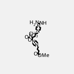 COC(=O)CCCN1CCN(C2OC(=O)N(C)C2CCCN2CCN(C(=N)N)CC2)CC1